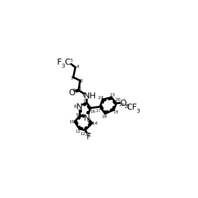 O=C(CCCC(F)(F)F)Nc1nc2ccc(F)cn2c1-c1ccc(OC(F)(F)F)cc1